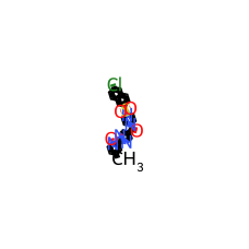 Cc1cc[n+]([O-])c(-c2ncc(C(=O)N3CCN(S(=O)(=O)c4ccc5cc(Cl)ccc5c4)CC3)cn2)c1